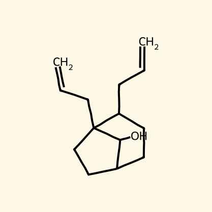 C=CCC1CCC2CCC1(CC=C)C2O